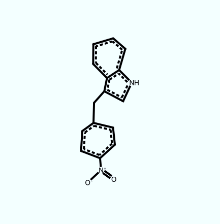 O=[N+]([O-])c1ccc(Cc2c[nH]c3ccccc23)cc1